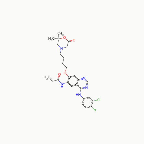 C=CC(=O)Nc1cc2c(Nc3ccc(F)c(Cl)c3)ncnc2cc1OCCCCN1CC(=O)OC(C)(C)C1